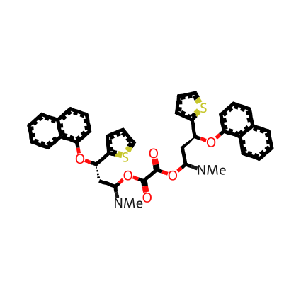 CNC(C[C@H](Oc1cccc2ccccc12)c1cccs1)OC(=O)C(=O)OC(C[C@H](Oc1cccc2ccccc12)c1cccs1)NC